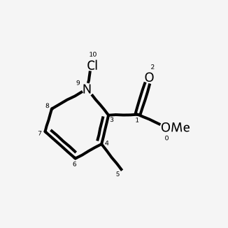 COC(=O)C1=C(C)C=CCN1Cl